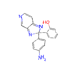 Nc1ccc(C2(c3ccccc3O)N=c3ccncc3=N2)cc1